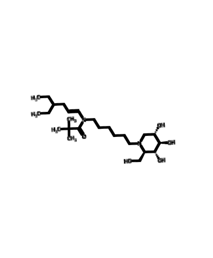 CCC(CC)C/C=C/N(CCCCCCN1C[C@H](O)[C@@H](O)[C@H](O)[C@H]1CO)C(=O)C(C)(C)C